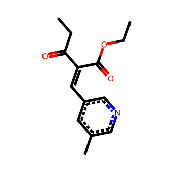 CCOC(=O)C(=Cc1cncc(C)c1)C(=O)CC